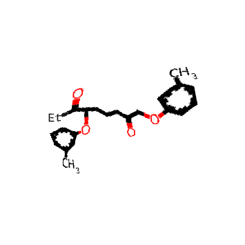 CCC(=O)C(CCCC(=O)COc1cccc(C)c1)Oc1cccc(C)c1